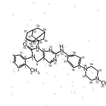 Cc1ccccc1N1Cc2cnc(Nc3ccc(N4CCN(C)CC4)cc3)nc2N(C23CC4CC(CC(C4)C2)C3)C1=O